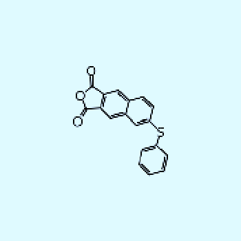 O=C1OC(=O)c2cc3cc(Sc4ccccc4)ccc3cc21